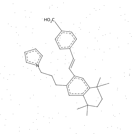 CC1(C)CCC(C)(C)c2cc(CCCn3cccc3)c(C=Cc3ccc(C(=O)O)cc3)cc21